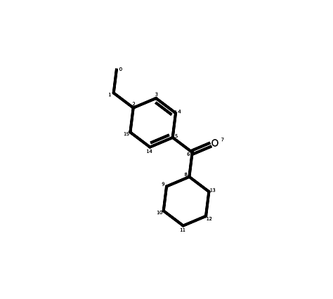 CCC1C=[C]C(C(=O)C2CCCCC2)=CC1